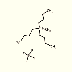 CCCC[PH](C)(CCCC)CCCC.F[B-](F)(F)F